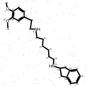 COc1ccc(CCNCCCCCCNC2Cc3ccccc3C2)cc1OC